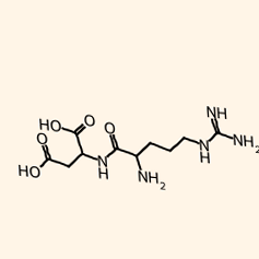 N=C(N)NCCCC(N)C(=O)NC(CC(=O)O)C(=O)O